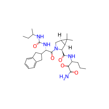 CCCC(NC(=O)[C@@H]1[C@H]2[C@@H](CN1C(=O)[C@@H](NC(=O)NC(C)CC)C1Cc3ccccc3C1)C2(C)C)C(=O)C(N)=O